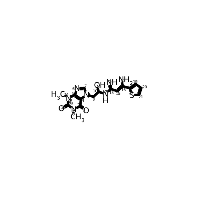 Cn1c(=O)c2c(ncn2CC(O)NC(=N)/C=C(\N)c2cccs2)n(C)c1=O